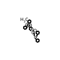 Cc1cccc(S(=O)(=O)N(c2ccccc2)C2CCN(C(=O)OCCN(Cc3ccccc3)Cc3ccccc3)CC2)c1